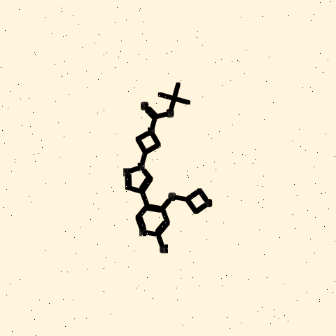 CC(C)(C)OC(=O)N1CC(n2cc(-c3cnc(Cl)cc3OC3COC3)cn2)C1